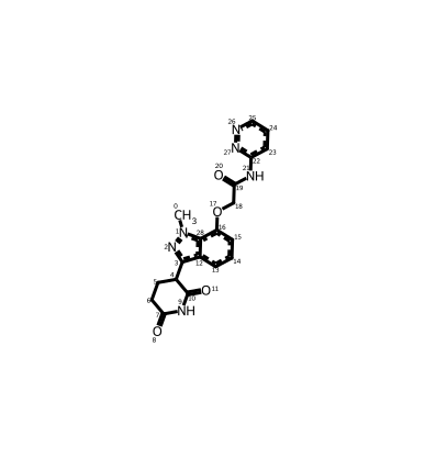 Cn1nc(C2CCC(=O)NC2=O)c2cccc(OCC(=O)Nc3cccnn3)c21